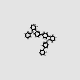 c1ccc(-c2ccc(-n3c4ccccc4c4ccc(-c5ccc6c(c5)c5cnccc5n6-c5ccccc5)cc43)cc2)cc1